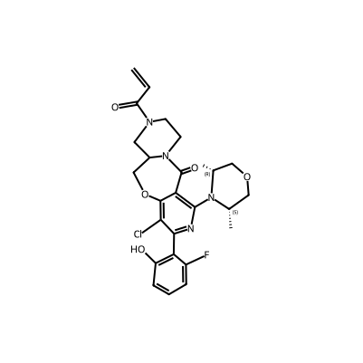 C=CC(=O)N1CCN2C(=O)c3c(N4[C@H](C)COC[C@@H]4C)nc(-c4c(O)cccc4F)c(Cl)c3OCC2C1